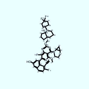 C#Cc1c(F)ccc2cc(O)cc(-c3nc(OC)c4c(N5CCOC6CC65)nc(OC[C@]56CCC[C@H]5N(C5CCC(F)(F)CC5)CCC6)nc4c3F)c12